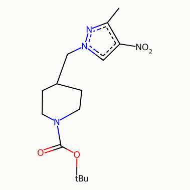 Cc1nn(CC2CCN(C(=O)OC(C)(C)C)CC2)cc1[N+](=O)[O-]